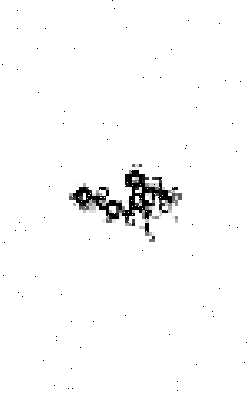 CCc1c(N)c(C(=O)N2CCC(NC(=O)c3ccccc3)CC2)cc2c1C(C(=O)NCC(F)(F)F)c1ccccc1-2